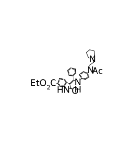 CCOC(=O)c1ccc2c(c1)NC(=O)/C2=C(\Nc1ccc(N(CCN2CCCCC2)C(C)=O)cc1)c1ccccc1